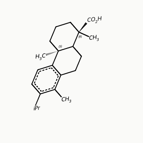 Cc1c(C(C)C)ccc2c1CCC1[C@](C)(C(=O)O)CCC[C@]21C